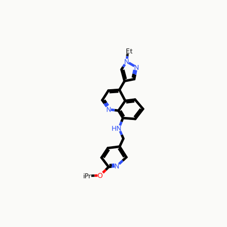 CCn1cc(-c2ccnc3c(NCc4ccc(OC(C)C)nc4)cccc23)cn1